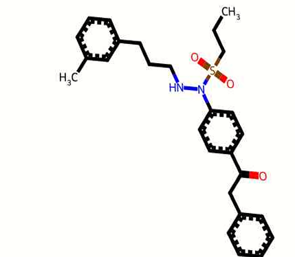 CCCS(=O)(=O)N(NCCCc1cccc(C)c1)c1ccc(C(=O)Cc2ccccc2)cc1